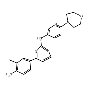 Cc1cc(-c2ccnc(Nc3ccc(N4CCOCC4)nc3)n2)ccc1N